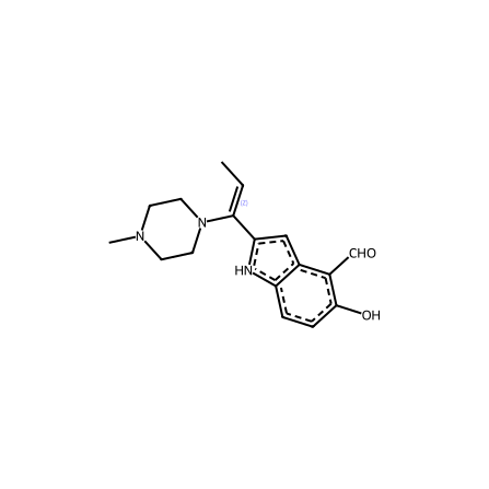 C/C=C(/c1cc2c(C=O)c(O)ccc2[nH]1)N1CCN(C)CC1